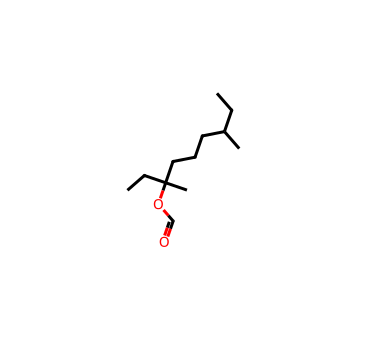 CCC(C)CCCC(C)(CC)OC=O